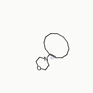 C1=C(/N2CCOCC2)CCCCCCCCCC/1